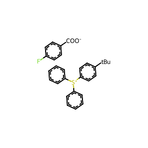 CC(C)(C)c1ccc([S+](c2ccccc2)c2ccccc2)cc1.O=C([O-])c1ccc(F)cc1